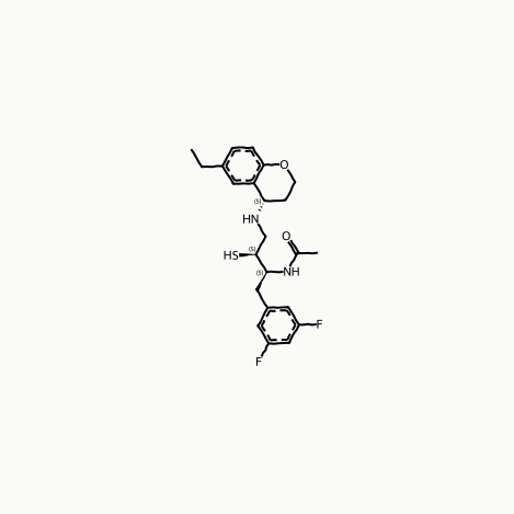 CCc1ccc2c(c1)[C@@H](NC[C@H](S)[C@H](Cc1cc(F)cc(F)c1)NC(C)=O)CCO2